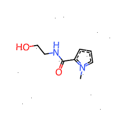 Cn1cccc1C(=O)NCCO